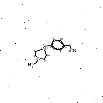 CN1CCN(Cc2ccc(CC#N)cc2)CC1